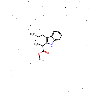 CCCc1c(C(C)C(=O)OC)[nH]c2ccccc12